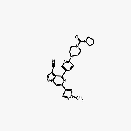 Cn1cc(-c2cn3ncc(C#N)c3c(-c3ccc(N4CCN(C(=O)N5CCCC5)CC4)nc3)n2)cn1